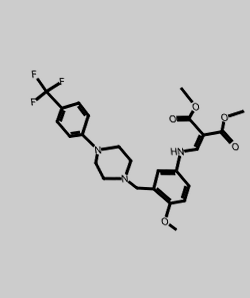 COC(=O)C(=CNc1ccc(OC)c(CN2CCN(c3ccc(C(F)(F)F)cc3)CC2)c1)C(=O)OC